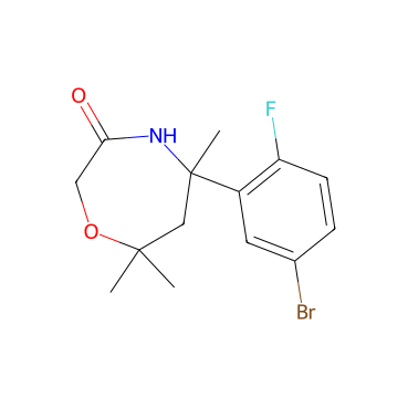 CC1(C)CC(C)(c2cc(Br)ccc2F)NC(=O)CO1